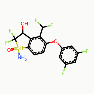 N[SH]1(=O)c2ccc(Oc3cc(F)cc(F)c3)c(C(F)F)c2C(O)C1(F)F